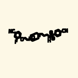 N#Cc1ccc(S(=O)(=O)NCCCN2CC3CN(CCOc4ccc(C#N)cc4F)CC(C2)O3)cc1